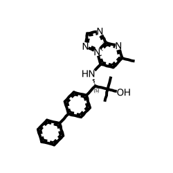 Cc1cc(N[C@@H](c2ccc(-c3ccccc3)cc2)C(C)(C)O)n2ncnc2n1